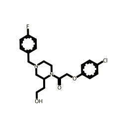 O=C(COc1ccc(Cl)cc1)N1CCN(Cc2ccc(F)cc2)CC1CCO